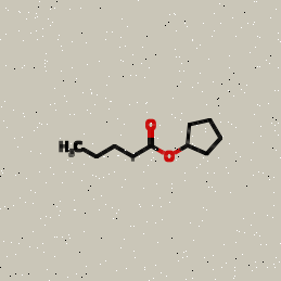 CCC[CH]C(=O)OC1CCCC1